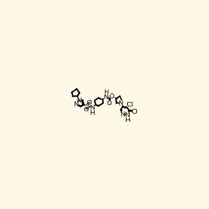 O=C(N[C@H]1CC[C@H](NS(=O)(=O)c2cnn(C3CCCC3)c2)CC1)O[C@@H]1CCN(c2cn[nH]c(=O)c2Cl)C1